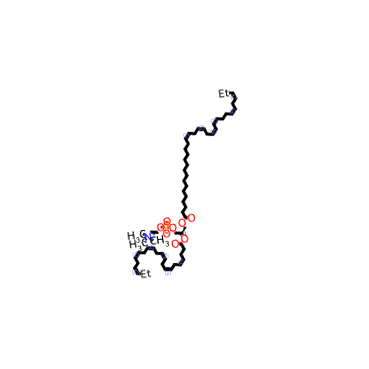 CC/C=C\C/C=C\C/C=C\C/C=C\C/C=C\C/C=C\CCC(=O)O[C@H](COC(=O)CCCCCCCCCCCCCC/C=C\C/C=C\C/C=C\C=C/CC/C=C\C/C=C\CC)COP(=O)([O-])OCC[N+](C)(C)C